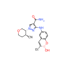 CCC1=Cc2cc(Nc3nn([C@H]4COCC[C@@H]4C#N)cc3C(N)=O)ccc2OB1O